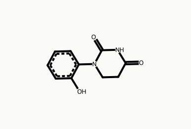 O=C1CCN(c2ccccc2O)C(=O)N1